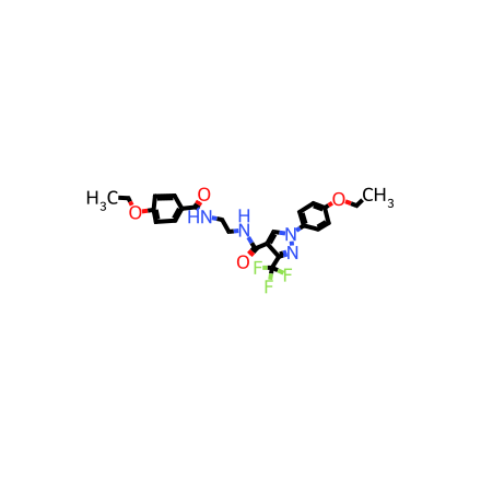 CCOc1ccc(C(=O)NCCNC(=O)c2cn(-c3ccc(OCC)cc3)nc2C(F)(F)F)cc1